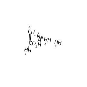 CC(=O)O.[HH].[HH].[HH].[NaH]